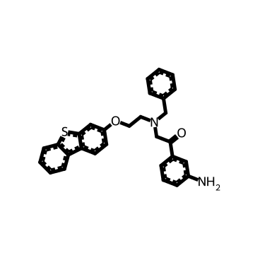 Nc1cccc(C(=O)CN(CCOc2ccc3c(c2)sc2ccccc23)Cc2ccccc2)c1